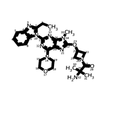 CCc1nc2ccccc2n1-c1nc(N2CCOCC2)c2nc(OC3CN(C(=O)C(C)(C)N)C3)n(C)c2n1